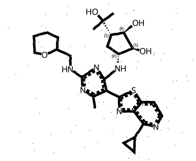 Cc1nc(NCC2CCCCO2)nc(N[C@@H]2C[C@H](C(C)(C)O)[C@@H](O)[C@H]2O)c1-c1nc2c(C3CC3)nccc2s1